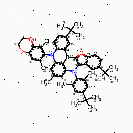 Cc1cc2c3c(c1)N(c1c(C)cc(C(C)(C)C)cc1C)c1c(oc4ccc(C(C)(C)C)cc14)B3c1cc(C(C)(C)C)ccc1N2c1c(C)cc2c(c1C)OCCO2